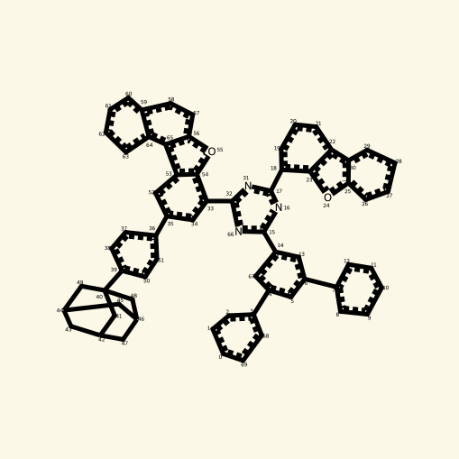 c1ccc(-c2cc(-c3ccccc3)cc(-c3nc(-c4cccc5c4oc4ccccc45)nc(-c4cc(-c5ccc(C67CC8CC(CC(C8)C6)C7)cc5)cc5c4oc4ccc6ccccc6c45)n3)c2)cc1